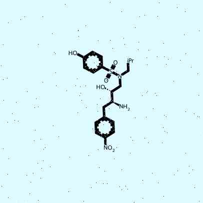 CC(C)CN(C[C@@H](O)[C@@H](N)Cc1ccc([N+](=O)[O-])cc1)S(=O)(=O)c1ccc(O)cc1